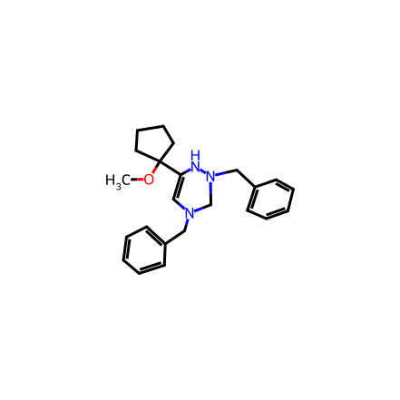 COC1(C2=CN(Cc3ccccc3)CN(Cc3ccccc3)N2)CCCC1